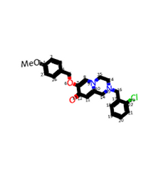 COc1ccc(COc2cn3c(cc2=O)CN(Cc2ccccc2Cl)CC3)cc1